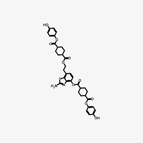 Nc1nc2c(OC(=O)C3CCC(C(=O)Oc4ccc(O)cc4)CC3)ccc(CCOC(=O)C3CCC(C(=O)Oc4ccc(O)cc4)CC3)c2s1